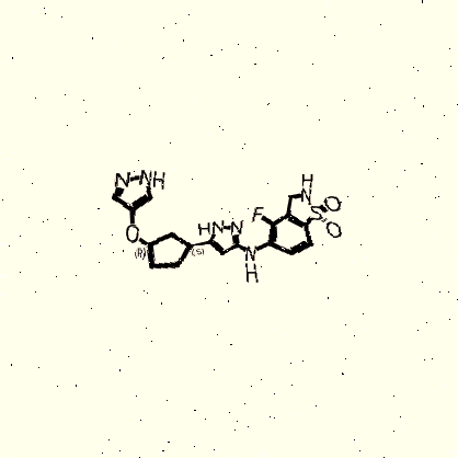 O=S1(=O)NCc2c1ccc(Nc1cc([C@H]3CC[C@@H](Oc4cn[nH]c4)C3)[nH]n1)c2F